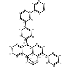 c1ccc(-c2cccc(-c3ccc(N4c5ccccc5C56CCC(CC5)c5c(-c7ccccc7)ccc4c56)cc3)c2)cc1